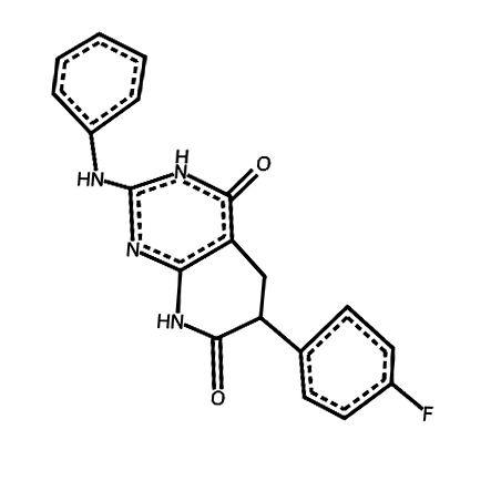 O=C1Nc2nc(Nc3ccccc3)[nH]c(=O)c2CC1c1ccc(F)cc1